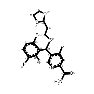 Cc1cc(C(N)=O)ncc1C(SCCC1OCCO1)c1c(F)ccc(F)c1F